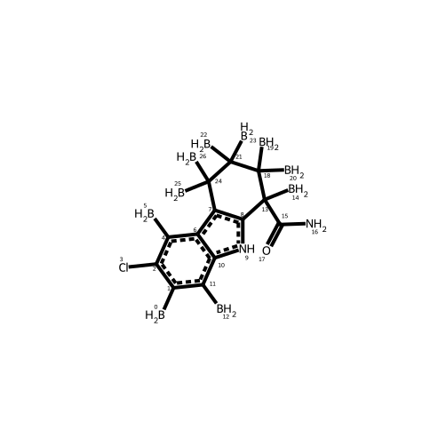 Bc1c(Cl)c(B)c2c3c([nH]c2c1B)C(B)(C(N)=O)C(B)(B)C(B)(B)C3(B)B